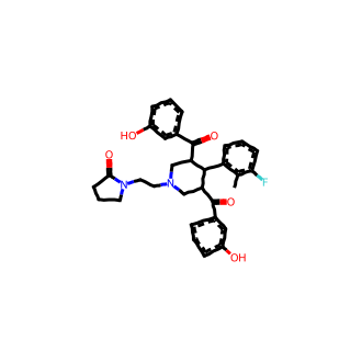 Cc1c(F)cccc1C1C(C(=O)c2cccc(O)c2)CN(CCN2CCCC2=O)CC1C(=O)c1cccc(O)c1